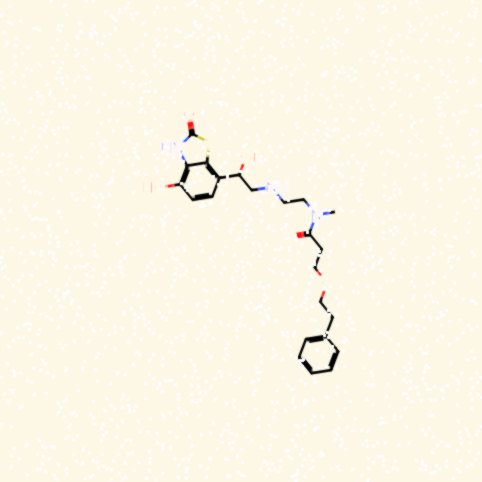 CN(CCNCC(O)c1ccc(O)c2[nH]c(=O)sc12)C(=O)CCOCCc1ccccc1